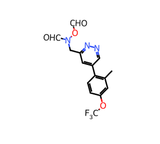 Cc1cc(OC(F)(F)F)ccc1-c1cnnc(CN(C=O)OC=O)c1